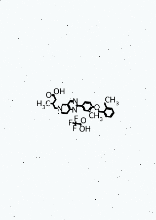 CCc1ccccc1COc1ccc(-c2ncc3c(n2)CCN(CC(C)CC(=O)O)C3)cc1C.O=C(O)C(F)(F)F